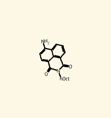 CCCCCCCCN1C(=O)c2cccc3c(N)ccc(c23)C1=O